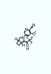 COc1cc(N2C[C@@H]3CC[C@@H]3[C@@H]2[C@H](O)C(F)(F)F)cnc1C#N